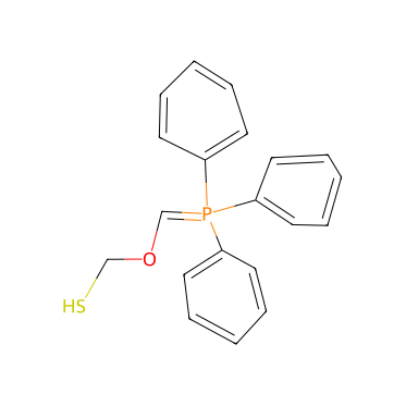 SCOC=P(c1ccccc1)(c1ccccc1)c1ccccc1